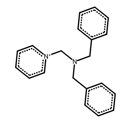 c1ccc(CN(Cc2ccccc2)C[n+]2ccccc2)cc1